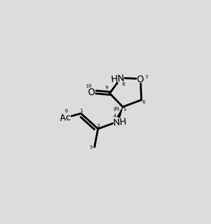 CC(=O)C=C(C)N[C@@H]1CONC1=O